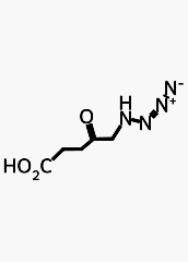 [N-]=[N+]=NNCC(=O)CCC(=O)O